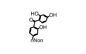 CCCCCCCCCc1ccc(C(=O)c2ccc(O)cc2O)c(O)c1